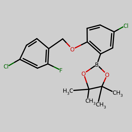 CC1(C)OB(c2cc(Cl)ccc2OCc2ccc(Cl)cc2F)OC1(C)C